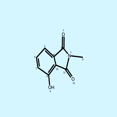 CN1C(=O)c2cccc(O)c2C1=O